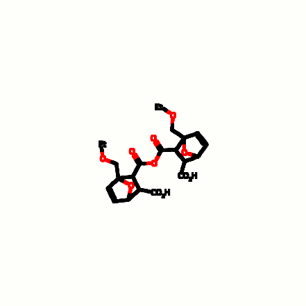 CCOCC12C=CC(O1)C(C(=O)O)C2C(=O)OC(=O)C1C(C(=O)O)C2C=CC1(COCC)O2